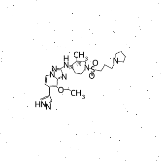 CCOc1c(-c2cn[nH]c2)ccn2nc(N[C@H]3CCN(S(=O)(=O)CCCN4CCCC4)C[C@H]3C)nc12